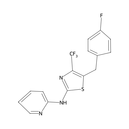 Fc1ccc(Cc2sc(Nc3ccccn3)nc2C(F)(F)F)cc1